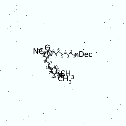 CCCCCCCCCCCCCCCCCCOC(=O)C(C#N)=CC=CC=Cc1ccc(N(C)C)cc1